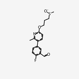 Cc1nc(OCCC[S+](C)[O-])ccc1-c1ccc(F)c(C=O)c1